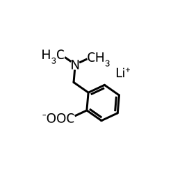 CN(C)Cc1ccccc1C(=O)[O-].[Li+]